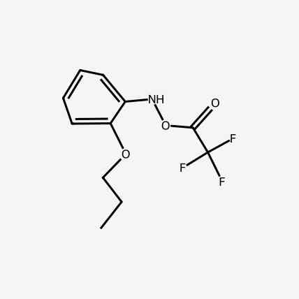 CCCOc1ccccc1NOC(=O)C(F)(F)F